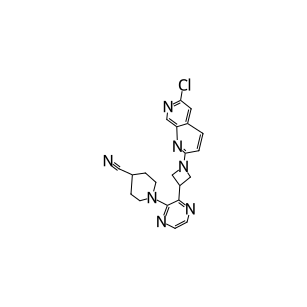 N#CC1CCN(c2nccnc2C2CN(c3ccc4cc(Cl)ncc4n3)C2)CC1